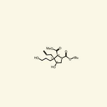 C=CC[C@]1(CCCO)[C@H](O)CN(C(=O)OC(C)(C)C)[C@@H]1C(=O)OC